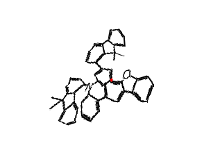 CC1(C)c2ccccc2-c2c(N(c3cccc(-c4cccc5c4C(C)(C)c4ccccc4-5)c3)c3ccccc3-c3ccc4oc5ccccc5c4c3)cccc21